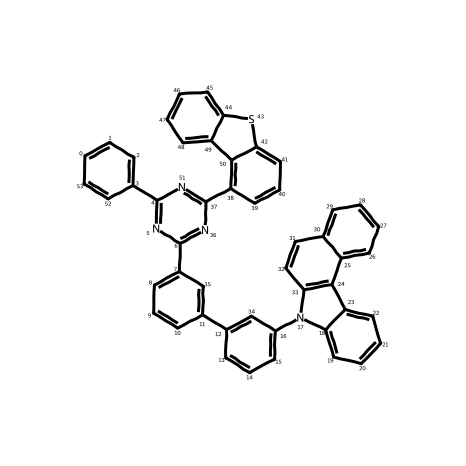 c1ccc(-c2nc(-c3cccc(-c4cccc(-n5c6ccccc6c6c7ccccc7ccc65)c4)c3)nc(-c3cccc4sc5ccccc5c34)n2)cc1